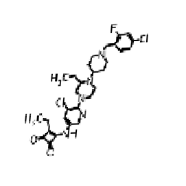 CCc1c(Nc2cnc(N3CCN(C4CCN(Cc5ccc(Cl)cc5F)CC4)C(CC)C3)c(Cl)c2)c(=O)c1=O